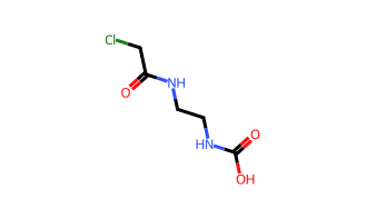 O=C(O)NCCNC(=O)CCl